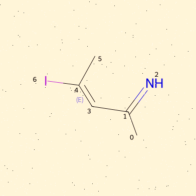 CC(=N)/C=C(\C)I